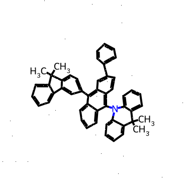 CC1(C)c2ccccc2-c2cc(-c3c4ccccc4c(N4c5ccccc5C(C)(C)c5ccccc54)c4ccc(-c5ccccc5)cc34)ccc21